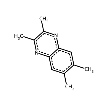 Cc1cc2nc(C)c(C)nc2cc1C